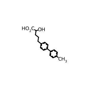 Cc1ccc(-c2ccc(CCCC(O)C(=O)O)cc2)cc1